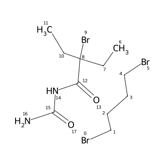 BrCCCCBr.CCC(Br)(CC)C(=O)NC(N)=O